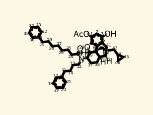 CC(=O)Oc1cc(O)c2c3c1O[C@H]1[C@H](N(CCCCc4ccccc4)C(=O)CCCCCCCc4ccccc4)CC[C@H]4[C@@H](C2)N(CC2CC2)CC[C@@]341